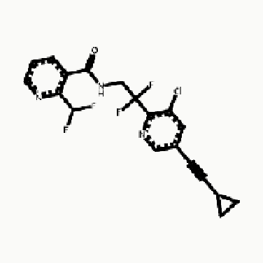 O=C(NCC(F)(F)c1ncc(C#CC2CC2)cc1Cl)c1cccnc1C(F)F